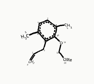 C=CCc1c(C)ccc(C)c1OCOC